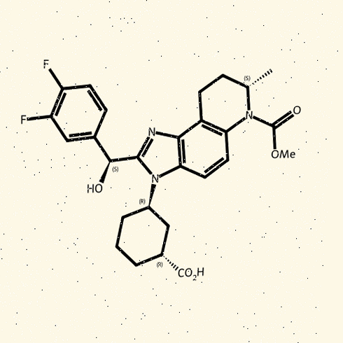 COC(=O)N1c2ccc3c(nc([C@@H](O)c4ccc(F)c(F)c4)n3[C@@H]3CCC[C@@H](C(=O)O)C3)c2CC[C@@H]1C